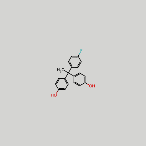 CC(c1ccc(O)cc1)(c1ccc(O)cc1)c1ccc(F)cc1